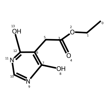 CCOC(=O)Cc1c(O)ncnc1O